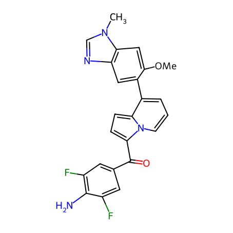 COc1cc2c(cc1-c1cccn3c(C(=O)c4cc(F)c(N)c(F)c4)ccc13)ncn2C